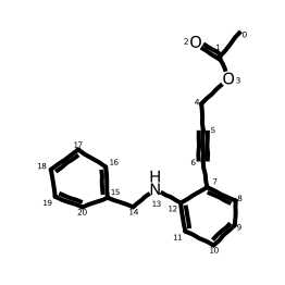 CC(=O)OCC#Cc1ccccc1NCc1ccccc1